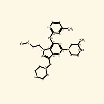 CCOCCn1nc(CN2CCOCC2)c2nc(N3CCNC(C)C3)nc(Nc3cc(C)ccn3)c21